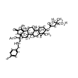 CC(=O)OC(CNCc1ccc(F)cc1)C12CC[C@]3(C)[C@H](CC[C@@H]4[C@@]5(C)CC[C@H](OC(=O)CC(C)(C)C(=O)O)C6(C)C[C@]65CC[C@]43C)C1=C(C(C)C)C(=O)C2